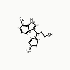 N#CCCC(c1ccc(C(F)(F)F)cc1)c1c[nH]c2c(C#N)cccc12